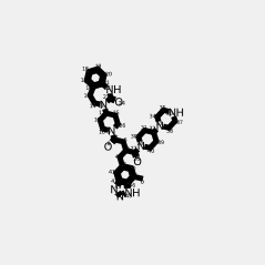 Cc1cc(CC(CC(=O)N2CCC(N3CCc4ccccc4NC3=O)CC2)C(=O)N2CCC(N3CCNCC3)CC2)cc2nn[nH]c12